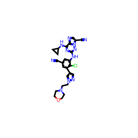 N#Cc1cc(Nc2nc(NC3CC3)c3ncc(C#N)n3n2)c(Cl)c(-c2cnn(CCN3CCOCC3)c2)c1